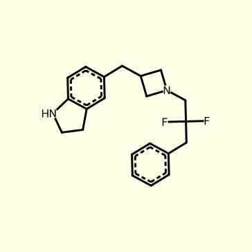 FC(F)(Cc1ccccc1)CN1CC(Cc2ccc3c(c2)CCN3)C1